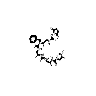 C[C@@H](CNC(=O)N[C@@H](C)CNC(=O)N[C@@H](C)CNC(=O)N(Cc1ccccc1)[C@@H](C)CNC(=O)ON1C(=O)CCC1=O)NCl